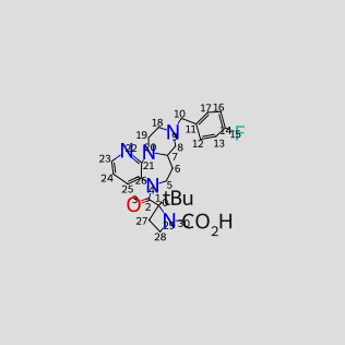 CC(C)(C)[C@]1(C(=O)N2CCC3CN(Cc4ccc(F)cc4)CCN3c3ncccc32)CCN1C(=O)O